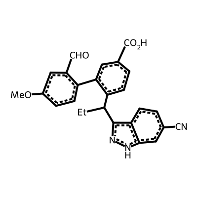 CCC(c1ccc(C(=O)O)cc1-c1ccc(OC)cc1C=O)c1n[nH]c2cc(C#N)ccc12